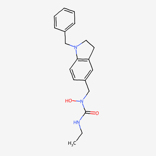 CCNC(=O)N(O)Cc1ccc2c(c1)CCN2Cc1ccccc1